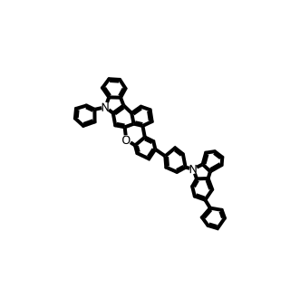 c1ccc(-c2ccc3c(c2)c2ccccc2n3-c2ccc(-c3ccc4c(c3)-c3cccc5c3c(cc3c5c5ccccc5n3-c3ccccc3)O4)cc2)cc1